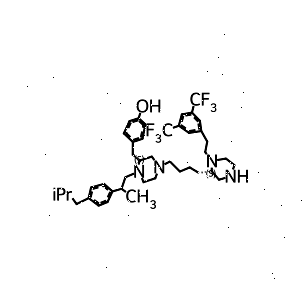 CC(C)Cc1ccc(C(C)CN2CCN(CCCC[C@H]3CNCCN3CCc3cc(C(F)(F)F)cc(C(F)(F)F)c3)C[C@@H]2Cc2ccc(O)cc2)cc1